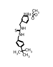 CC(C)(C)c1ccc(CNC(=S)NCc2ccc([AsH]S(C)(=O)=O)cc2)cc1